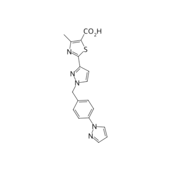 Cc1nc(-c2ccn(Cc3ccc(-n4cccn4)cc3)n2)sc1C(=O)O